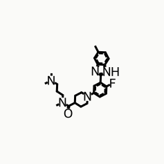 Cc1ccc2[nH]c(-c3cc(N4CCC(C(=O)N(C)CCCN(C)C)CC4)ccc3F)nc2c1